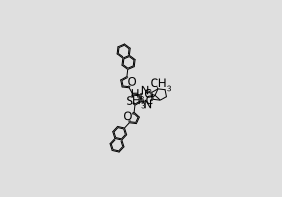 CC12CCC(c3nc4c(-c5ccc(-c6ccc7ccccc7c6)o5)sc(-c5ccc(-c6ccc7ccccc7c6)o5)c4nc31)C2(C)C